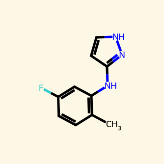 Cc1ccc(F)cc1Nc1cc[nH]n1